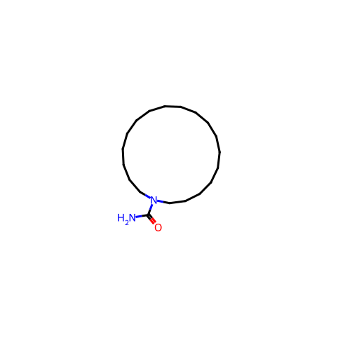 NC(=O)N1CCCCCCCCCCCCCCCCCC1